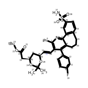 CC(C)c1nc2c(c(-c3ccc(F)cc3)c1/C=C/[C@@H]1C[C@H](CC(=O)OC(C)(C)C)OC(C)(C)O1)CCCc1ccc(S(N)(=O)=O)cc1-2